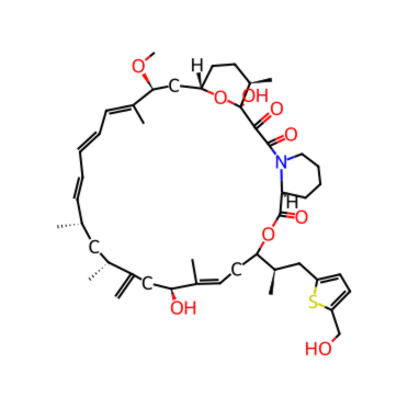 C=C1C[C@H](O)/C(C)=C/CC([C@H](C)Cc2ccc(CO)s2)OC(=O)[C@@H]2CCCCN2C(=O)C(=O)[C@]2(O)O[C@@H](CC[C@H]2C)C[C@H](OC)/C(C)=C/C=C/C=C/[C@@H](C)C[C@H]1C